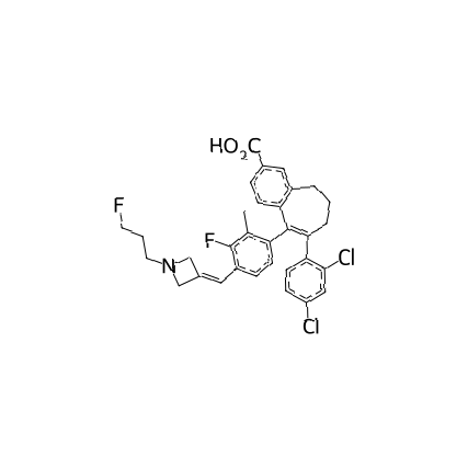 Cc1c(C2=C(c3ccc(Cl)cc3Cl)CCCc3cc(C(=O)O)ccc32)ccc(C=C2CN(CCCF)C2)c1F